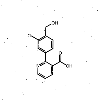 O=C(O)c1cccnc1-c1ccc(CO)c(Cl)c1